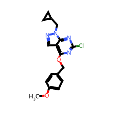 COc1ccc(COc2nc(Cl)nc3c2cnn3CC2CC2)cc1